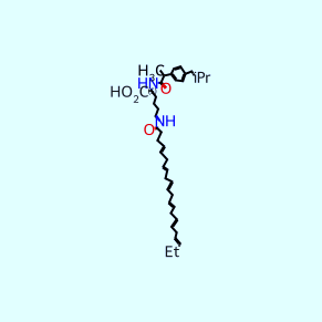 CCC=CCC=CCC=CCC=CCC=CCC=CCCC(=O)NCCCC[C@H](NC(=O)C(C)c1ccc(CC(C)C)cc1)C(=O)O